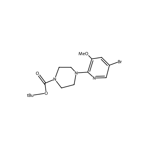 COc1cc(Br)cnc1N1CCN(C(=O)OC(C)(C)C)CC1